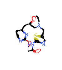 COc1nccc(C[C@@H]2CN(Cc3cnc(NC(C)=O)s3)CCO2)n1